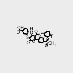 CS(=O)(=O)c1ccc2c3oc(=O)c(Sc4cccc(C(=O)O)c4)c(O)c3c(=O)n(Cc3ccc(F)cc3)c2c1